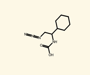 [N-]=[N+]=NCC(NC(=O)O)C1CCCCC1